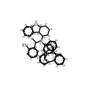 CCc1ccccc1C(C)N(c1ccc2c(c1)-c1c3cccc1-c1cccc-2c1-c1ccccc1-3)C1CCCC2Oc3ccccc3C21